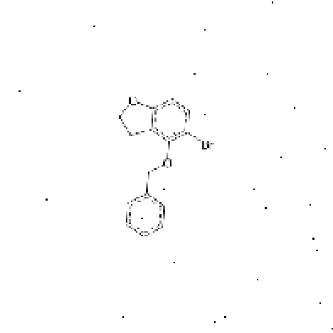 Brc1ccc2c(c1OCc1ccccc1)CCO2